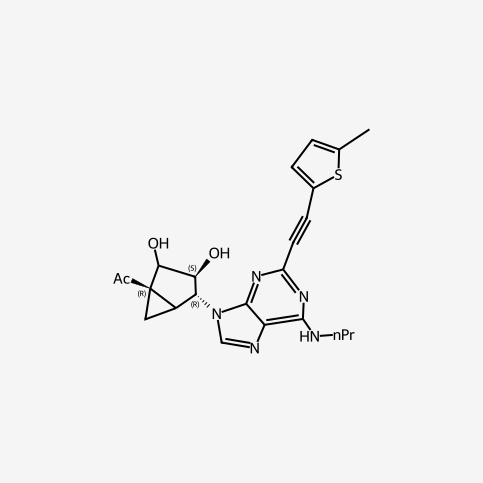 CCCNc1nc(C#Cc2ccc(C)s2)nc2c1ncn2[C@@H]1C2C[C@]2(C(C)=O)C(O)[C@H]1O